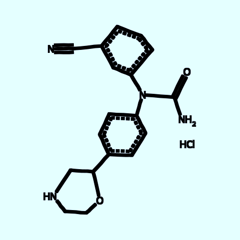 Cl.N#Cc1cccc(N(C(N)=O)c2ccc(C3CNCCO3)cc2)c1